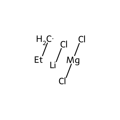 [CH2]CC.[Cl][Mg][Cl].[Li][Cl]